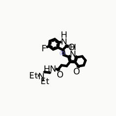 CCN(CC)CCNC(=O)CCc1c(/C=C2\C(=O)Nc3ccc(F)cc32)[nH]c2c1C(=O)CCC2